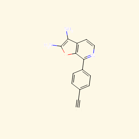 C#Cc1ccc(-c2nccc3c(N)c(N)oc23)cc1